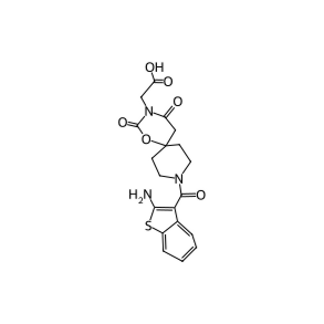 Nc1sc2ccccc2c1C(=O)N1CCC2(CC1)CC(=O)N(CC(=O)O)C(=O)O2